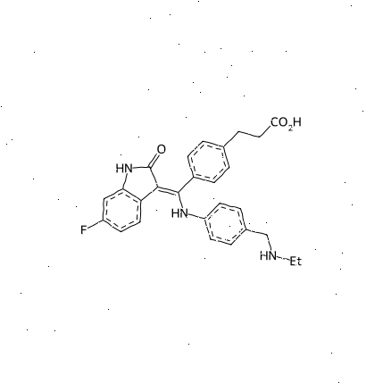 CCNCc1ccc(NC(=C2C(=O)Nc3cc(F)ccc32)c2ccc(CCC(=O)O)cc2)cc1